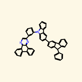 c1ccc(C2c3ccccc3-c3cc(-c4ccc5c(c4)c4ccccc4n5-c4cccc(-c5cnc6c7ccccc7c7ccccc7c6n5)c4)ccc32)cc1